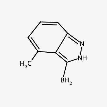 Bc1[nH]nc2cccc(C)c12